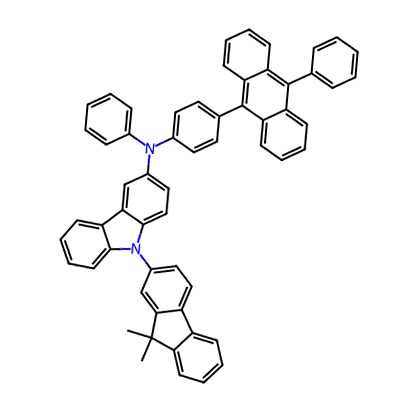 CC1(C)c2ccccc2-c2ccc(-n3c4ccccc4c4cc(N(c5ccccc5)c5ccc(-c6c7ccccc7c(-c7ccccc7)c7ccccc67)cc5)ccc43)cc21